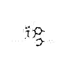 CCOC(=O)C[C@@H]1O[C@@H](c2cccc(OC)c2Cl)c2cc(C)ccc2-n2c1nnc2C(F)(F)F